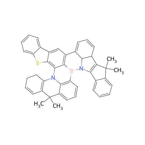 CC1(C)C2=C(c3ccccc31)N1B3c4cccc5c4N(C4=C(C=CCC4)C5(C)C)c4c3c(cc3c4sc4ccccc43)C3=CC=CC2C31